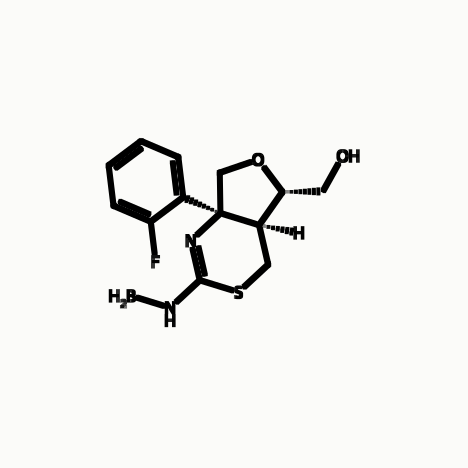 BNC1=N[C@@]2(c3ccccc3F)CO[C@H](CO)[C@H]2CS1